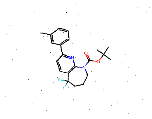 Cc1cccc(-c2ccc3c(n2)N(C(=O)OC(C)(C)C)CCCC3(F)F)c1